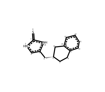 S=c1[nH]cc(C[C@H]2CCc3ccccc3C2)[nH]1